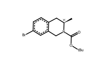 C[C@@H]1Cc2ccc(Br)cc2CN1C(=O)OC(C)(C)C